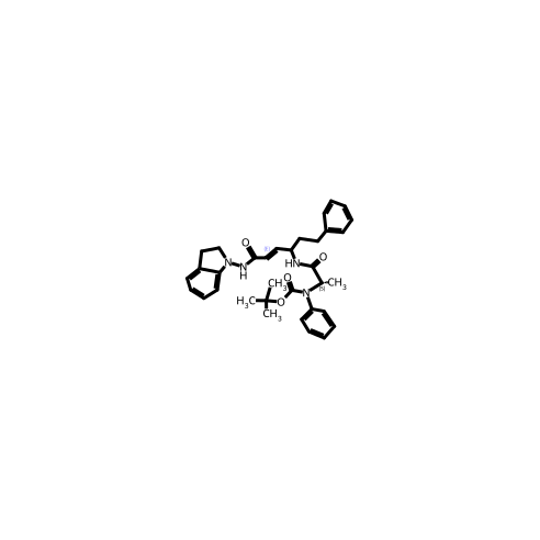 C[C@@H](C(=O)NC(/C=C/C(=O)NN1CCc2ccccc21)CCc1ccccc1)N(C(=O)OC(C)(C)C)c1ccccc1